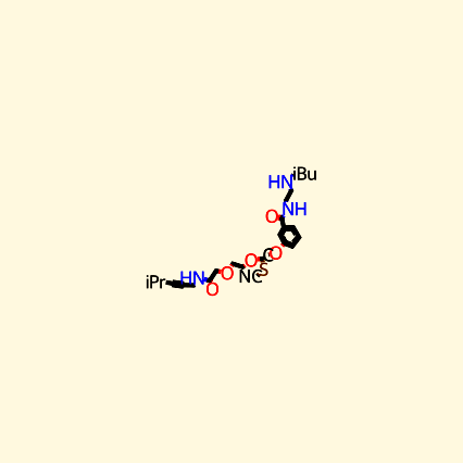 CCC(C)NCCNC(=O)c1cccc(OC[C@@H](OCCOCC(=O)NCC#CC(C)C)SC#N)c1